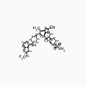 Cc1c(CN2CCC(Nc3ncnc4sc(CC(F)(F)F)cc34)CC2)cc2c3c1cc(C#N)n3CC(N1CCN(S(C)(=O)=O)CC1)C2C